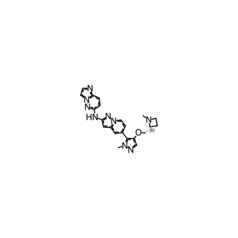 CN1CC[C@@H]1COc1cnn(C)c1-c1ccn2nc(Nc3ccc4nccn4n3)cc2c1